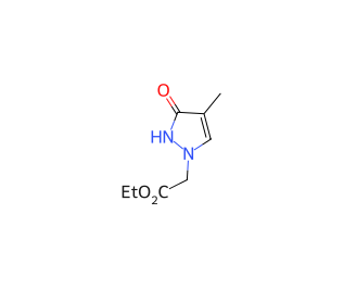 CCOC(=O)Cn1cc(C)c(=O)[nH]1